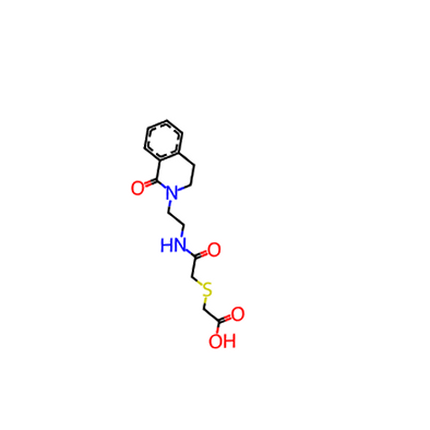 O=C(O)CSCC(=O)NCCN1CCc2ccccc2C1=O